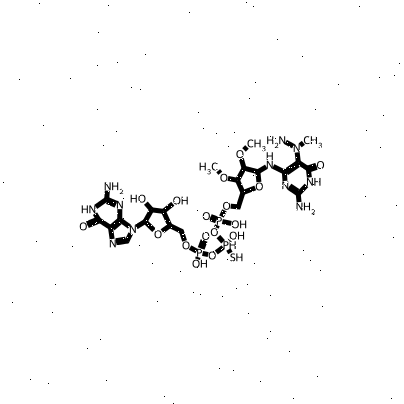 COC1C(COP(=O)(O)O[PH](O)(S)OP(=O)(O)OCC2OC(n3cnc4c(=O)[nH]c(N)nc43)C(O)C2O)OC(Nc2nc(N)[nH]c(=O)c2N(C)N)C1OC